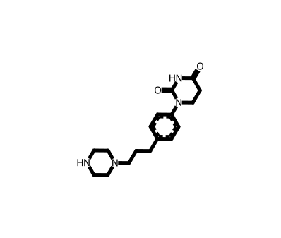 O=C1CCN(c2ccc(CCCN3CCNCC3)cc2)C(=O)N1